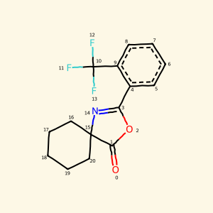 O=C1OC(c2ccccc2C(F)(F)F)=NC12CCCCC2